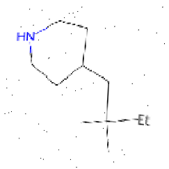 CCC(C)(C)CC1CCNCC1